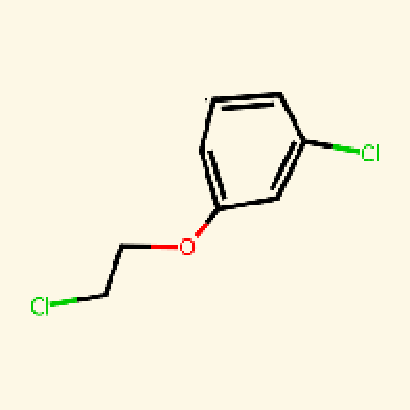 ClCCOc1c[c]cc(Cl)c1